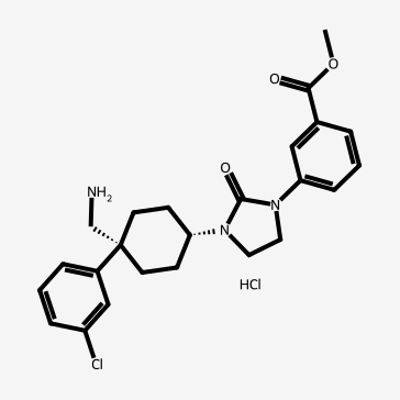 COC(=O)c1cccc(N2CCN([C@H]3CC[C@](CN)(c4cccc(Cl)c4)CC3)C2=O)c1.Cl